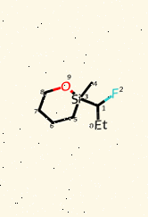 CCC(F)[Si]1(C)CCCCO1